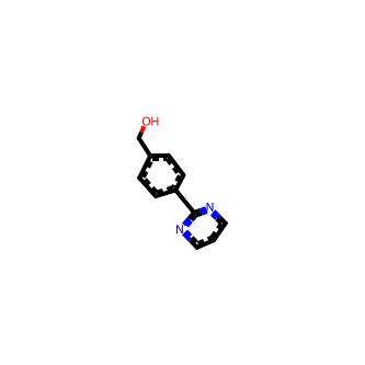 OCc1ccc(-c2ncccn2)cc1